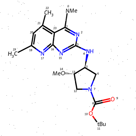 CNc1nc(N[C@H]2CN(C(=O)OC(C)(C)C)C[C@@H]2OC)nc2nc(C)cc(C)c12